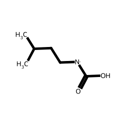 CC(C)CC[N]C(=O)O